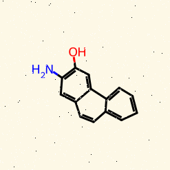 Nc1cc2ccc3ccccc3c2cc1O